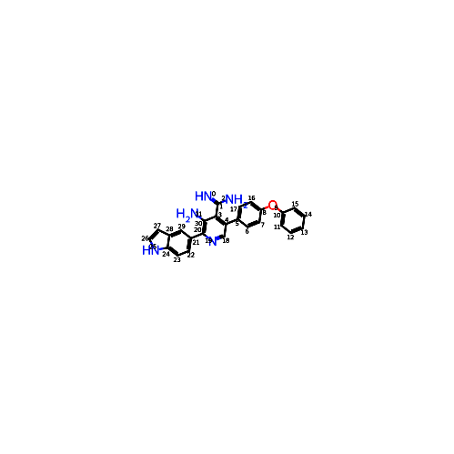 N=C(N)c1c(-c2ccc(Oc3ccccc3)cc2)cnc(-c2ccc3[nH]ccc3c2)c1N